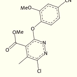 COC(=O)c1c(Oc2ccc(C#N)cc2OC)nnc(Cl)c1C